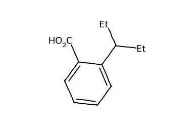 CCC(CC)c1ccccc1C(=O)O